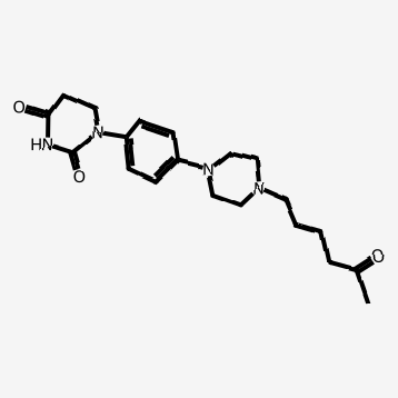 CC(=O)CCCCN1CCN(c2ccc(N3CCC(=O)NC3=O)cc2)CC1